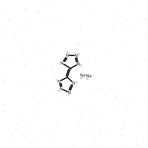 N1=NC(=C2N=NN=N2)N=N1.[Na].[Na]